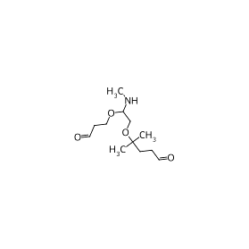 CNC(COC(C)(C)CCC=O)OCCC=O